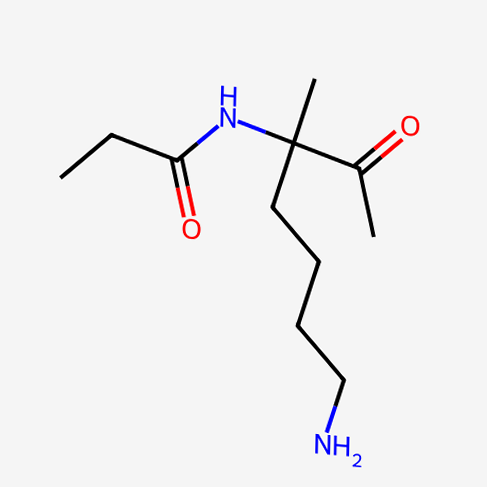 CCC(=O)NC(C)(CCCCN)C(C)=O